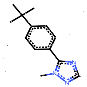 Cn1n[c]nc1-c1ccc(C(C)(C)C)cc1